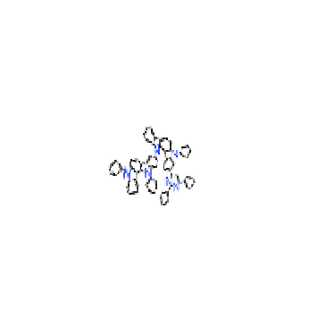 c1ccc(-c2cc(-c3ccc4c5c(ccc6c7ccccc7n(-c7ccc8c(c7)c7ccc9c(c%10ccccc%10n9-c9ccccc9)c7n8-c7ccccc7)c65)n(-c5ccccc5)c4c3)nc(-c3ccccc3)n2)cc1